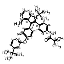 BC(B)(B)c1ccnc(Oc2ccc(-c3c(-c4ccc(NC(=O)C(=C)C)cc4)n(C(B)(B)B)c4ncnc(N)c34)cc2F)n1